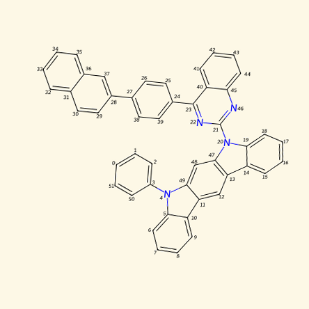 c1ccc(-n2c3ccccc3c3cc4c5ccccc5n(-c5nc(-c6ccc(-c7ccc8ccccc8c7)cc6)c6ccccc6n5)c4cc32)cc1